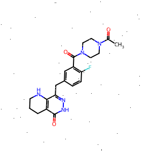 CC(=O)N1CCN(C(=O)c2cc(Cc3n[nH]c(=O)c4c3NCCC4)ccc2F)CC1